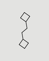 C1CC(CCC2CCC2)C1